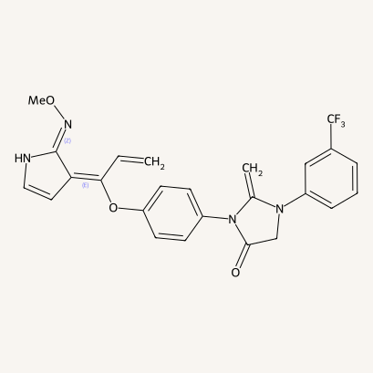 C=C/C(Oc1ccc(N2C(=C)N(c3cccc(C(F)(F)F)c3)CC2=O)cc1)=C1/C=CN/C1=N\OC